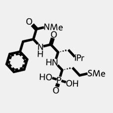 CNC(=O)C(Cc1ccccc1)NC(=O)[C@H](CC(C)C)N[C@H](CCSC)P(=O)(O)O